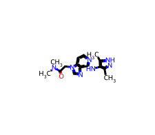 Cc1n[nH]c(C)c1Nc1nccc2c1ncn2CC(=O)N(C)C